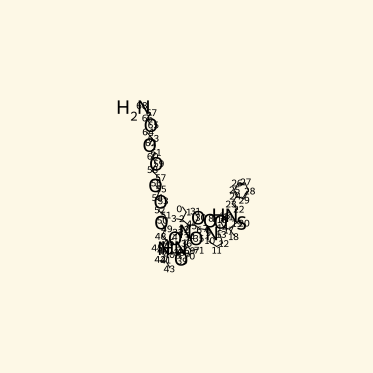 CCC(C)C(C(CC(=O)N1CCC[C@H]1C(OC)C(C)C(=S)NCCc1ccccc1)OC)N(C)C(=O)C(NC(=O)C(C(C)C)N(C)C(=O)CCOCCOCCOCCOCCOCCOCCN)C(C)C